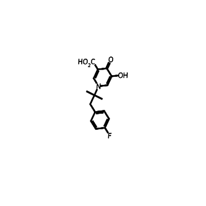 CC(C)(Cc1ccc(F)cc1)n1cc(O)c(=O)c(C(=O)O)c1